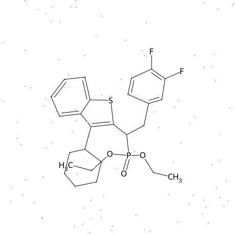 CCOP(=O)(OCC)C(Cc1ccc(F)c(F)c1)c1sc2ccccc2c1C1CCCCC1